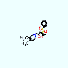 CC1=C(C)CN(CC(O)CC2(S(=O)(=O)c3ccccc3)CC2)CC1